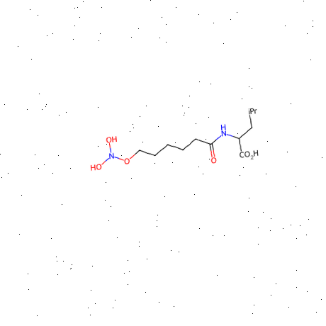 CC(C)CC(NC(=O)CCCCCON(O)O)C(=O)O